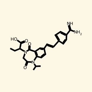 CCC(C(=O)O)N1CC(=O)N(C(C)C)c2ccc(C=Cc3ccc(C(=N)N)cc3)cc2C1=O